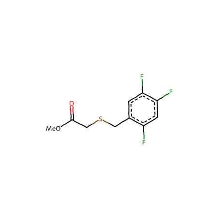 COC(=O)CSCc1cc(F)c(F)cc1F